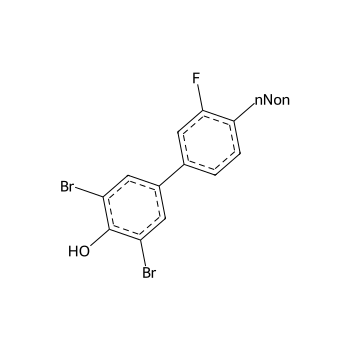 CCCCCCCCCc1ccc(-c2cc(Br)c(O)c(Br)c2)cc1F